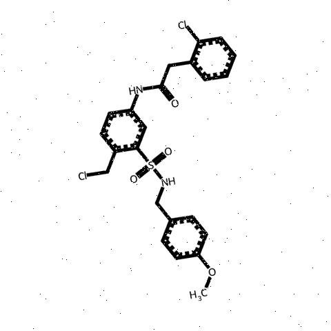 COc1ccc(CNS(=O)(=O)c2cc(NC(=O)Cc3ccccc3Cl)ccc2CCl)cc1